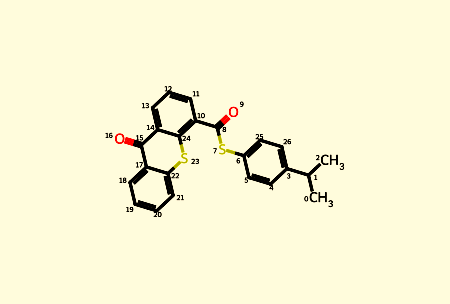 CC(C)c1ccc(SC(=O)c2cccc3c(=O)c4ccccc4sc23)cc1